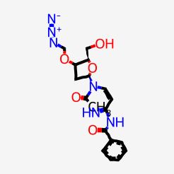 CC(=O)N(/C=C\C(=N)NC(=O)c1ccccc1)[C@H]1CC(OCN=[N+]=[N-])[C@@H](CO)O1